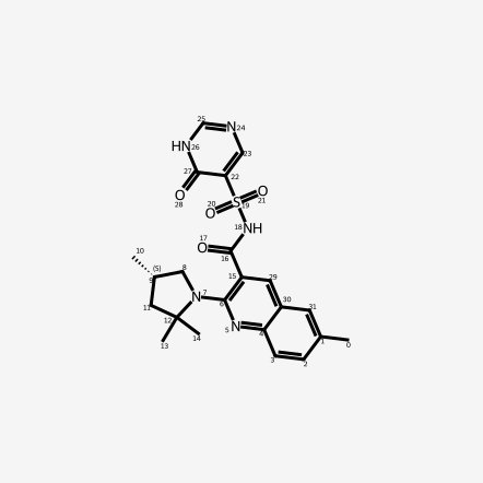 Cc1ccc2nc(N3C[C@@H](C)CC3(C)C)c(C(=O)NS(=O)(=O)c3cnc[nH]c3=O)cc2c1